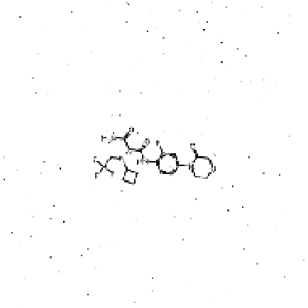 NC(=O)[C@H](C(=O)Nc1ccc(N2CCOCC2=O)cc1F)N(CC(F)(F)F)C1CCC1